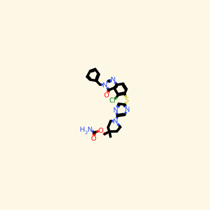 CC1(COC(N)=O)CCN(c2cnc(Sc3ccc4ncn(Cc5ccccc5)c(=O)c4c3Cl)cn2)CC1